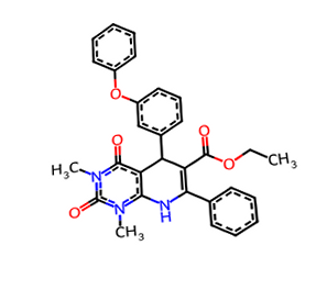 CCOC(=O)C1=C(c2ccccc2)Nc2c(c(=O)n(C)c(=O)n2C)C1c1cccc(Oc2ccccc2)c1